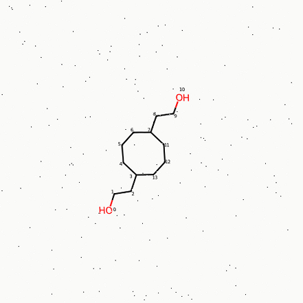 OCCC1CCCC(CCO)CCC1